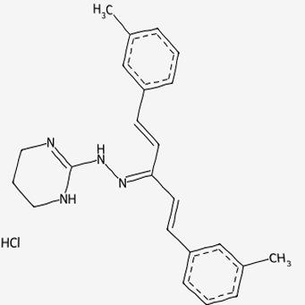 Cc1cccc(C=CC(C=Cc2cccc(C)c2)=NNC2=NCCCN2)c1.Cl